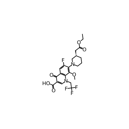 CCOC(=O)C[C@H]1CCCN(c2c(F)cc3c(=O)c(C(=O)O)cn(CC(F)(F)F)c3c2OC)C1